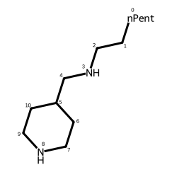 CCCCCCCNCC1CCNCC1